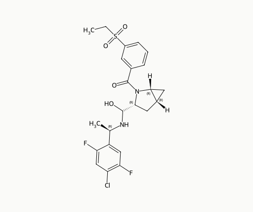 CCS(=O)(=O)c1cccc(C(=O)N2[C@@H](C(O)N[C@H](C)c3cc(F)c(Cl)cc3F)C[C@H]3C[C@H]32)c1